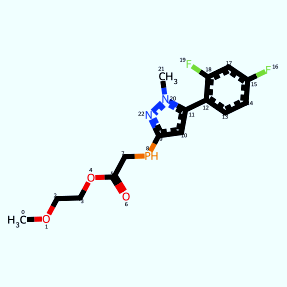 COCCOC(=O)CPc1cc(-c2ccc(F)cc2F)n(C)n1